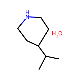 CC(C)C1CCNCC1.O